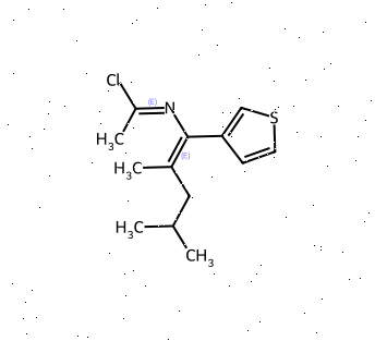 C/C(Cl)=N\C(=C(/C)CC(C)C)c1ccsc1